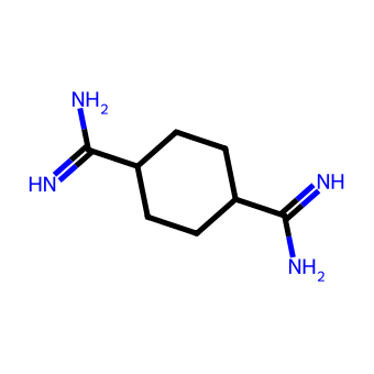 N=C(N)C1CCC(C(=N)N)CC1